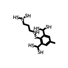 Cc1cc(C(S)S)c(SNCCCN(S)S)c(C(S)S)c1